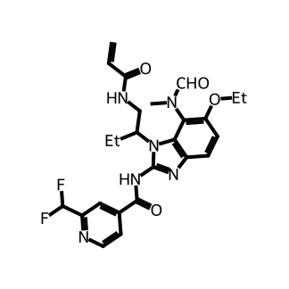 C=CC(=O)NCC(CC)n1c(NC(=O)c2ccnc(C(F)F)c2)nc2ccc(OCC)c(N(C)C=O)c21